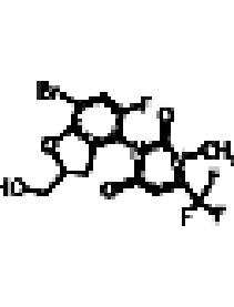 Cn1c(C(F)(F)F)cc(=O)n(-c2c(F)cc(Br)c3c2CC(CO)O3)c1=O